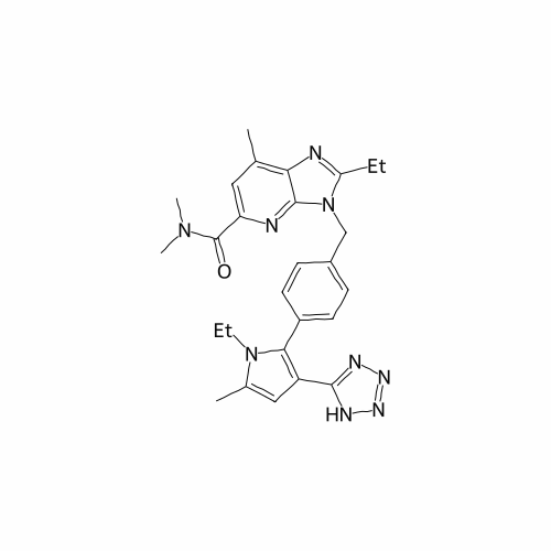 CCc1nc2c(C)cc(C(=O)N(C)C)nc2n1Cc1ccc(-c2c(-c3nnn[nH]3)cc(C)n2CC)cc1